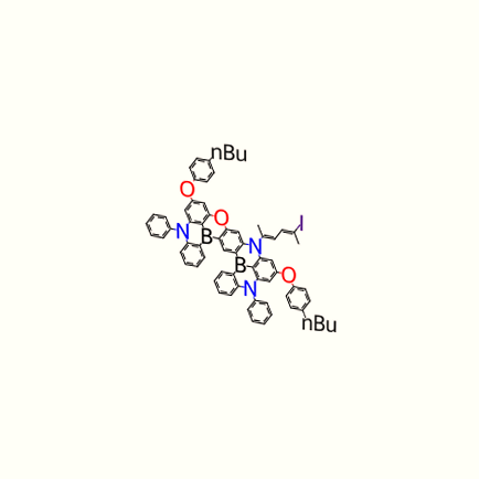 CCCCc1ccc(Oc2cc3c4c(c2)N(c2ccccc2)c2ccccc2B4c2cc4c(cc2O3)N(/C(C)=C/C=C(\C)I)c2cc(Oc3ccc(CCCC)cc3)cc3c2B4c2ccccc2N3c2ccccc2)cc1